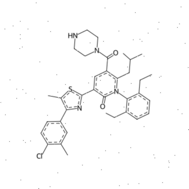 CCc1cccc(CC)c1-n1c(CC(C)C)c(C(=O)N2CCNCC2)cc(-c2nc(-c3ccc(Cl)c(C)c3)c(C)s2)c1=O